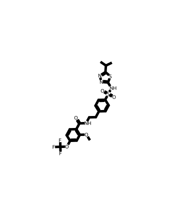 COc1cc(OC(F)(F)F)ccc1C(=O)NCCc1ccc(S(=O)(=O)Nc2nnc(C(C)C)s2)cc1